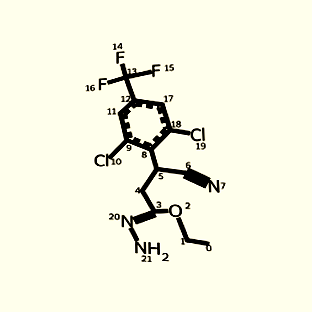 CCOC(CC(C#N)c1c(Cl)cc(C(F)(F)F)cc1Cl)=NN